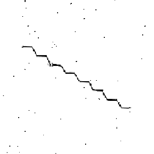 CCCCCCCCCCC[N]CCCC